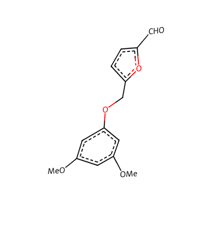 COc1cc(OC)cc(OCc2ccc(C=O)o2)c1